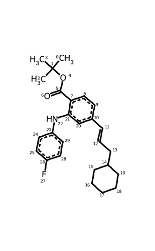 CC(C)(C)OC(=O)c1ccc(C=CCC2CCCCC2)cc1Nc1ccc(F)cc1